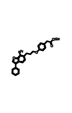 CCCc1c(CCCOc2ccc(CC(=O)OC)cc2)ccc2c(-c3ccccc3)coc12